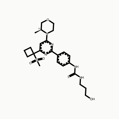 C[C@H]1COCCN1c1cc(C2(S(C)(=O)=O)CCC2)nc(-c2ccc(NC(=S)NCCCO)cc2)n1